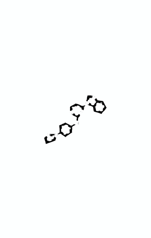 c1ccc2c(c1)ncn2-c1ccnc(Nc2ccc(-n3cccn3)cc2)n1